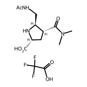 CC(=O)NC[C@@H]1N[C@@H](C(=O)O)C[C@H]1C(=O)N(C)C.O=C(O)C(F)(F)F